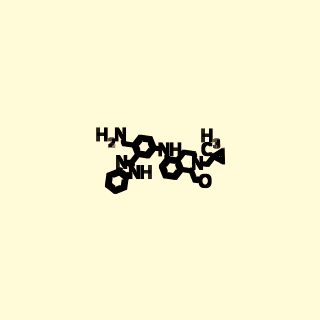 CC1(CN2CCc3c(Nc4ccc(CN)c(-c5nc6ccccc6[nH]5)c4)cccc3C2C=O)CC1